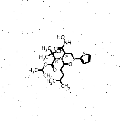 CC(C)CCC(=O)N([C@H](CSc1cccs1)C(=O)NO)[C@@H](C(=O)OC(C)C)C(C)(C)C